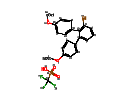 CCCCCCCCOc1ccc(-c2cccc(S)c2-c2ccc(OCCCCCCCC)cc2)cc1.O=S(=O)(O)C(F)(F)F